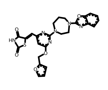 O=C1NC(=O)/C(=C/c2cc(OCc3ccco3)nc(N3CCCN(c4nc5ccccc5o4)CC3)n2)S1